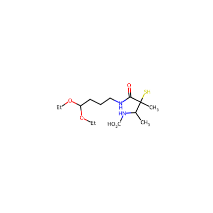 CCOC(CCCNC(=O)C(C)(S)C(C)NC(=O)O)OCC